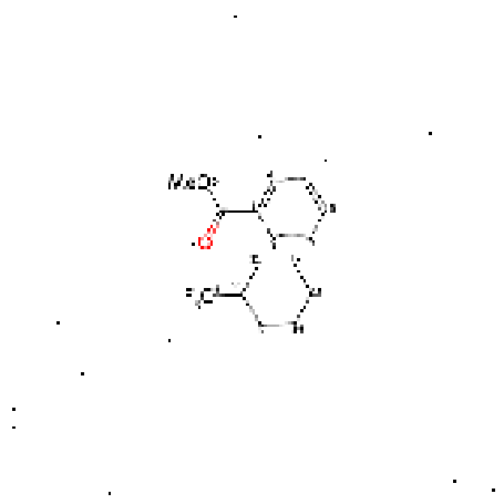 COC(=O)c1ccccc1.FC(F)(F)C1CCCCC1